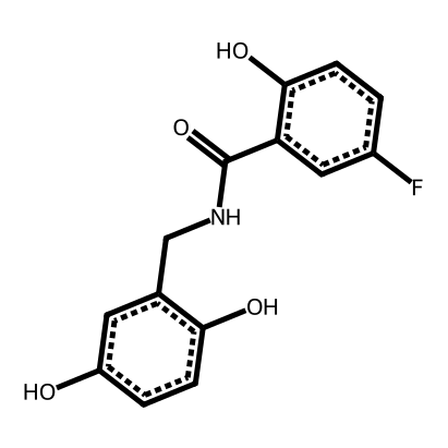 O=C(NCc1cc(O)ccc1O)c1cc(F)ccc1O